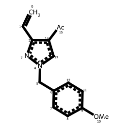 C=Cc1nn(Cc2ccc(OC)cc2)cc1C(C)=O